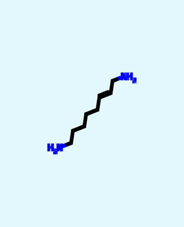 NCC=CCCCCCN